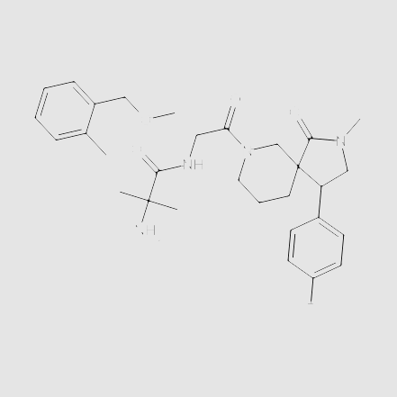 Cc1ccccc1COC[C@@H](NC(=O)C(C)(C)N)C(=O)N1CCCC2(C1)C(=O)N(C)CC2c1ccc(F)cc1